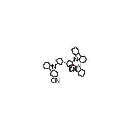 N#Cc1cc(-c2cccc(-n3c4ccccc4c4cc(C#N)ccc43)c2)cc(-n2c3ccccc3c3cccc(-n4c5ccccc5c5ccccc54)c32)c1